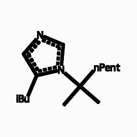 CCCCCC(C)(C)n1cncc1C(C)CC